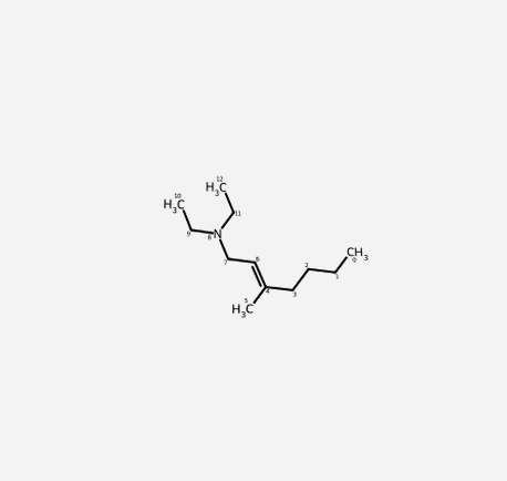 CCCCC(C)=CCN(CC)CC